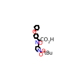 CC(C)(C)OC(=O)N1CCCC(c2nc(-c3ccc(Oc4ccccc4)cc3)c(C(=O)O)o2)C1